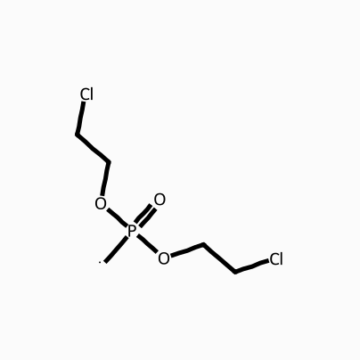 [CH2]P(=O)(OCCCl)OCCCl